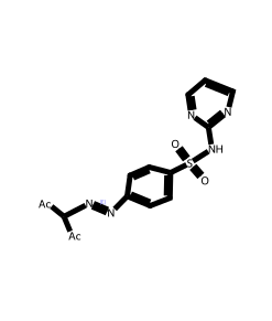 CC(=O)C(/N=N/c1ccc(S(=O)(=O)Nc2ncccn2)cc1)C(C)=O